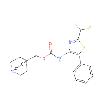 O=C(Nc1nc(C(F)F)sc1-c1ccccc1)OCC12CCN(CC1)CC2